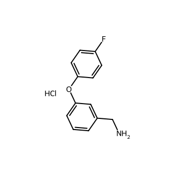 Cl.NCc1cccc(Oc2ccc(F)cc2)c1